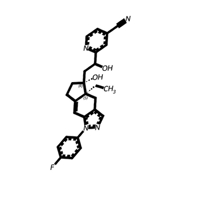 CC[C@]12Cc3cnn(-c4ccc(F)cc4)c3C=C1CC[C@@]2(O)CC(O)c1cc(C#N)ccn1